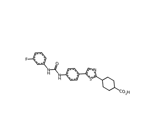 O=C(Nc1ccc(-c2cnc(C3CCC(C(=O)O)CC3)s2)cc1)Nc1cccc(F)c1